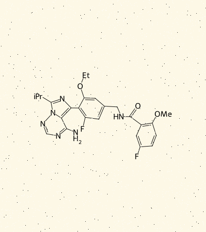 CCOc1cc(CNC(=O)c2cc(F)ccc2OC)cc(F)c1-c1nc(C(C)C)n2ncnc(N)c12